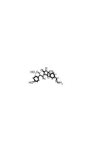 CC(=O)N([C@H](CC(=O)O)c1ccc(O)cc1)N1C(=O)N[C@](C)(c2ccc(C=NN)cc2)C1=O